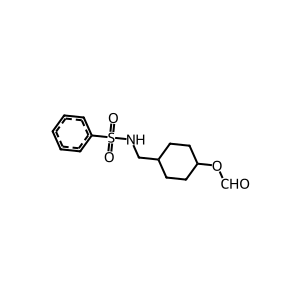 O=COC1CCC(CNS(=O)(=O)c2ccccc2)CC1